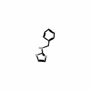 c1ccc(CNc2ncco2)cc1